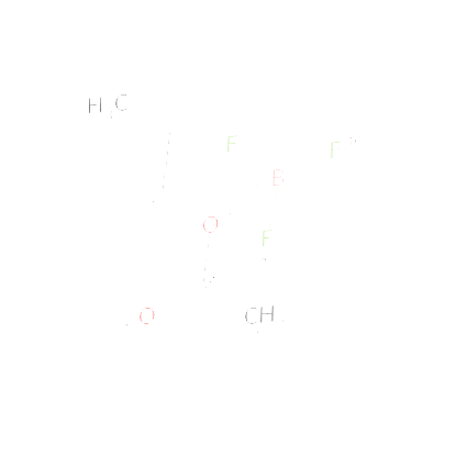 CCCOC(C)=O.FB(F)F